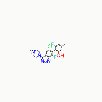 Cc1cc(O)c(-c2c(Cl)cc3c(N4CCN(C)CC4)ncnc3c2F)c(F)c1